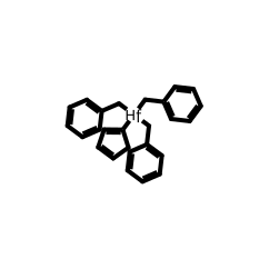 C1=CC[C]([Hf]([CH2]c2ccccc2)([CH2]c2ccccc2)[CH2]c2ccccc2)=C1